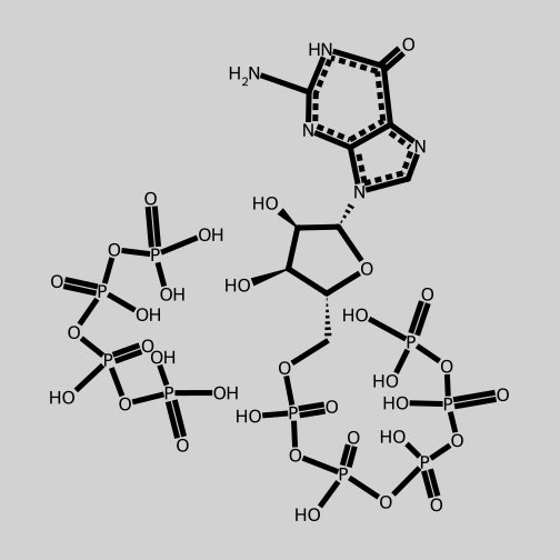 Nc1nc2c(ncn2[C@@H]2O[C@H](COP(=O)(O)OP(=O)(O)OP(=O)(O)OP(=O)(O)OP(=O)(O)O)[C@@H](O)[C@H]2O)c(=O)[nH]1.O=P(O)(O)OP(=O)(O)OP(=O)(O)OP(=O)(O)O